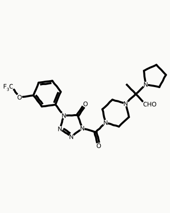 CC(C=O)(N1CCCC1)N1CCN(C(=O)n2nnn(-c3cccc(OC(F)(F)F)c3)c2=O)CC1